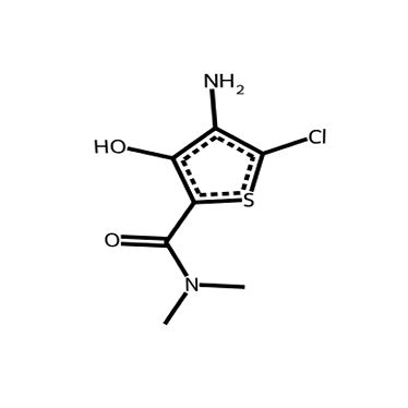 CN(C)C(=O)c1sc(Cl)c(N)c1O